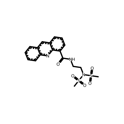 CS(=O)(=O)N(CCNC(=O)c1cccc2cc3ccccc3nc12)S(C)(=O)=O